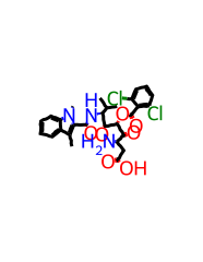 Cc1c(C(=O)N[C@H](C(=O)C(OC(=O)c2c(Cl)cccc2Cl)C(=O)C(N)CC(=O)O)C(C)C)n(C)c2ccccc12